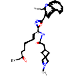 CCC(=O)CCCCC[C@H](NC(=O)CC1CC2(C1)CN(C)C2)c1nnc(-c2cc3ccccc3nc2OC)o1